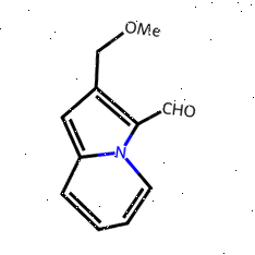 COCc1cc2ccccn2c1C=O